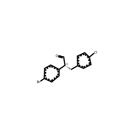 O=C[C@H](Cc1ccc(Cl)cc1)c1ccc(Br)cc1